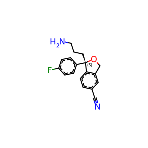 N#Cc1ccc2c(c1)CO[C@@]2(CCCN)c1ccc(F)cc1